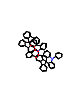 c1ccc(N2c3ccccc3C3(c4ccccc4-c4ccc(N(c5ccc6c(c5)C5(c7ccccc7-c7ccccc75)c5ccccc5-6)c5ccccc5-c5ccccc5-c5cccc6ccccc56)cc43)c3ccccc32)cc1